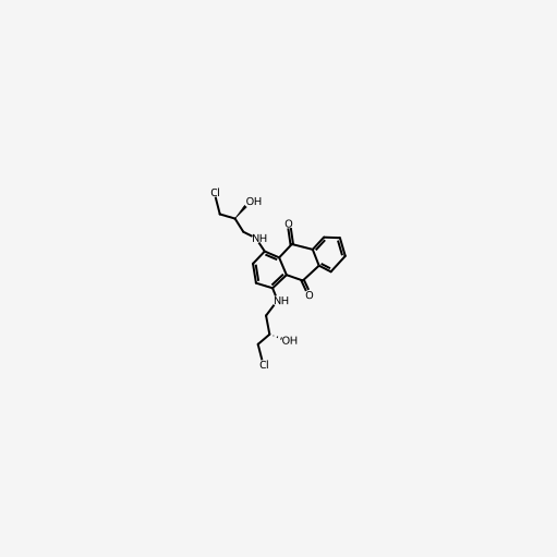 O=C1c2ccccc2C(=O)c2c(NC[C@H](O)CCl)ccc(NC[C@H](O)CCl)c21